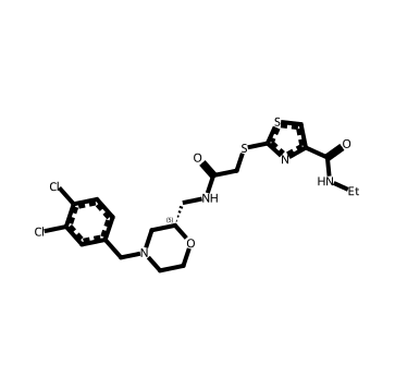 CCNC(=O)c1csc(SCC(=O)NC[C@H]2CN(Cc3ccc(Cl)c(Cl)c3)CCO2)n1